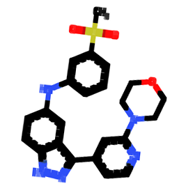 CS(=O)(=O)c1cccc(Nc2ccc3[nH]nc(-c4ccnc(N5CCOCC5)c4)c3c2)c1